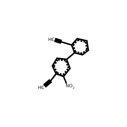 C#Cc1ccccc1-c1ccc(C#C)c([N+](=O)[O-])c1